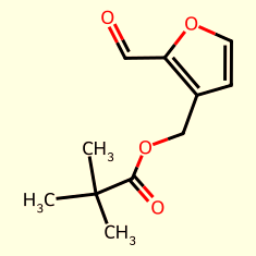 CC(C)(C)C(=O)OCc1ccoc1C=O